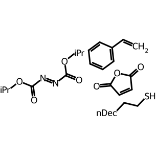 C=Cc1ccccc1.CC(C)OC(=O)N=NC(=O)OC(C)C.CCCCCCCCCCCCS.O=C1C=CC(=O)O1